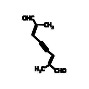 C/C(C=O)=C\C#C/C=C(\C)C=O